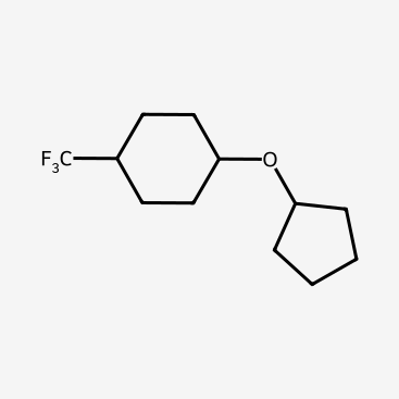 FC(F)(F)C1CCC(OC2CCCC2)CC1